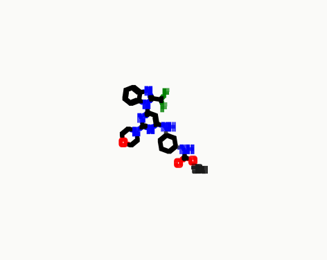 CC(C)(C)OC(=O)N[C@@H]1CCC[C@H](Nc2cc(-n3c(C(F)F)nc4ccccc43)nc(N3CCOCC3)n2)C1